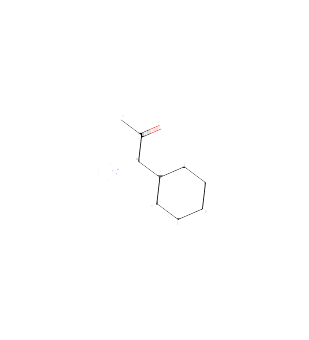 CC(=O)[C@@H](N)C1CCCCC1